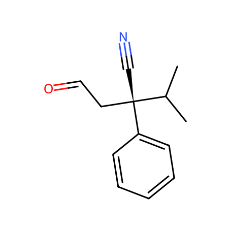 CC(C)[C@@](C#N)(CC=O)c1ccccc1